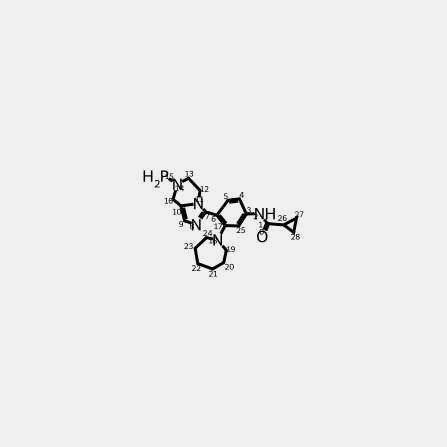 O=C(Nc1ccc(-c2ncc3n2CCN(P)C3)c(N2CCCCCC2)c1)C1CC1